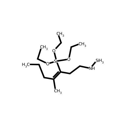 CCCC(C)=C(CCN[SiH3])[Si](OCC)(OCC)OCC